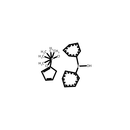 OP(c1ccccc1)c1ccccc1.[CH3][Ir]([CH3])([CH3])([CH3])([CH3])([Cl])([Cl])[C]1=CC=CC1